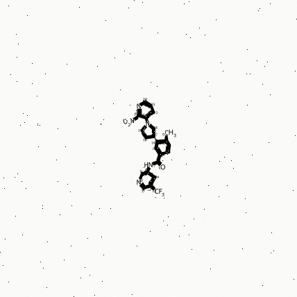 Cc1ccc(C(=O)Nc2cncc(C(F)(F)F)c2)cc1[C@@H]1CCN(c2cccnc2[N+](=O)[O-])C1